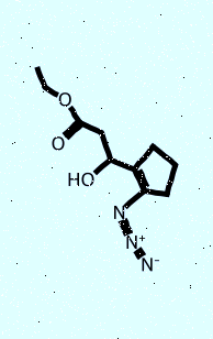 CCOC(=O)CC(O)C1=C(N=[N+]=[N-])CCC1